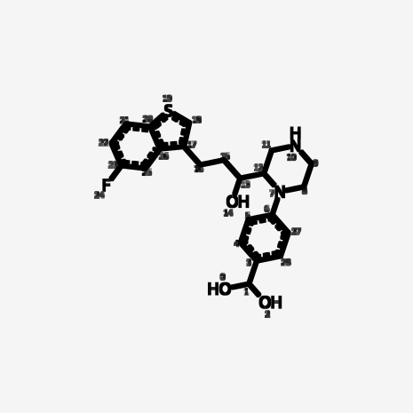 OC(O)c1ccc(N2CCNCC2C(O)CCc2csc3ccc(F)cc23)cc1